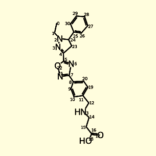 CCN1N=C(c2nc(-c3ccc(CNCCC(=O)O)cc3)no2)CC1c1ccccc1